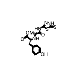 COC(=O)[C@H](Cc1ccc(O)cc1)NCC(=O)Nc1n[nH]c(=S)s1